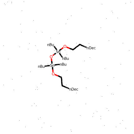 CCCCCCCCCCCC[O][Sn]([CH2]CCC)([CH2]CCC)[O][Sn]([CH2]CCC)([CH2]CCC)[O]CCCCCCCCCCCC